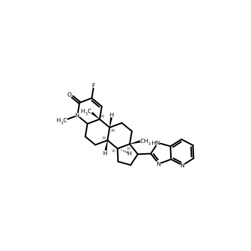 CN1C(=O)C(F)=C[C@@]2(C)C1CC[C@@H]1[C@H]2CC[C@]2(C)C(c3nc4ncccc4[nH]3)CC[C@@H]12